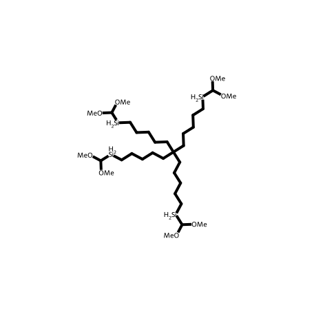 COC(OC)[SiH2]CCCCCC(CCCCC[SiH2]C(OC)OC)(CCCCC[SiH2]C(OC)OC)CCCCC[SiH2]C(OC)OC